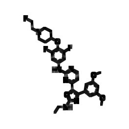 CCNc1nc(-c2cc(OC)cc(OC)c2)c(-c2ccnc(Nc3cc(F)c(OC4CCN(CCF)CC4)c(F)c3)n2)o1